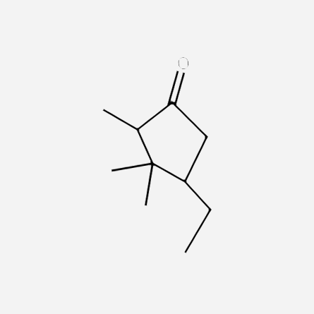 CCC1CC(=O)C(C)C1(C)C